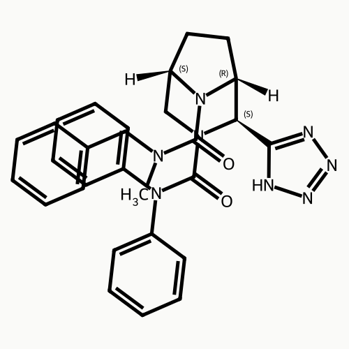 CN(Cc1ccccc1)C(=O)N1[C@H]2CC[C@@H]1[C@@H](c1nnn[nH]1)N(C(=O)N(c1ccccc1)c1ccccc1)C2